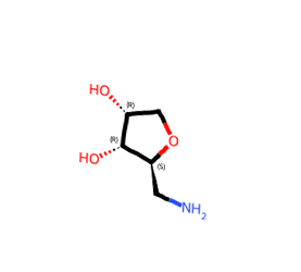 NC[C@@H]1OC[C@@H](O)[C@H]1O